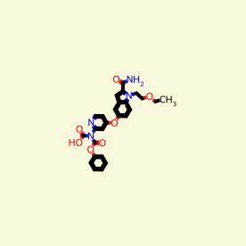 CCOCCn1c(C(N)=O)cc2cc(Oc3ccnc(N(C(=O)O)C(=O)Oc4ccccc4)c3)ccc21